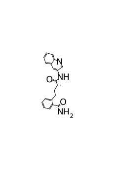 NC(=O)c1ccccc1CC[CH]C(=O)Nc1cnc2ccccc2c1